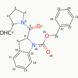 O=CC1CCCN1C(=O)C1Cc2ccccc2N1C(=O)OCc1ccccc1